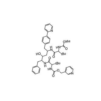 COC(=O)NC(C(=O)NC(Cc1ccc(-c2ccccn2)cc1)CC(O)C(Cc1ccccc1)NC(=O)C(NC(=O)OCc1cccnc1)C(C)(C)C)C(C)(C)C